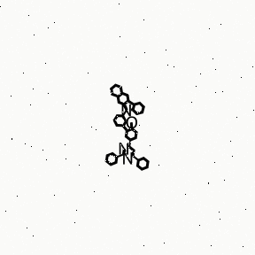 c1ccc(-c2cc(-c3ccc4oc5c(-n6c7ccccc7c7cc8ccccc8cc76)cccc5c4c3)nc(-c3ccccc3)n2)cc1